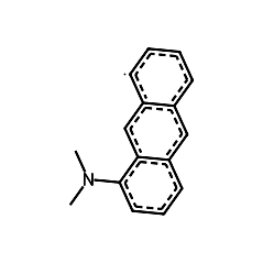 CN(C)c1cccc2cc3ccc[c]c3cc12